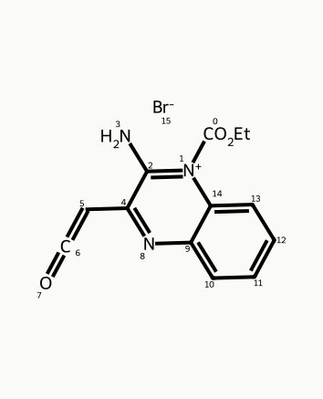 CCOC(=O)[n+]1c(N)c(C=C=O)nc2ccccc21.[Br-]